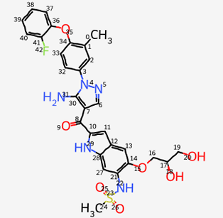 Cc1cc(-n2ncc(C(=O)c3cc4cc(OC[C@H](O)CO)c(NS(C)(=O)=O)cc4[nH]3)c2N)ccc1Oc1ccccc1F